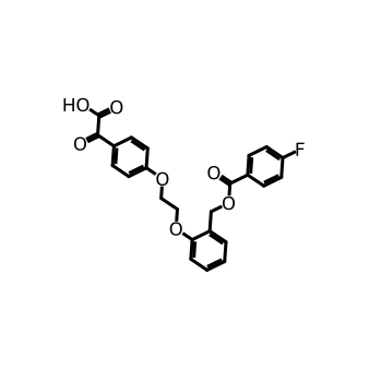 O=C(O)C(=O)c1ccc(OCCOc2ccccc2COC(=O)c2ccc(F)cc2)cc1